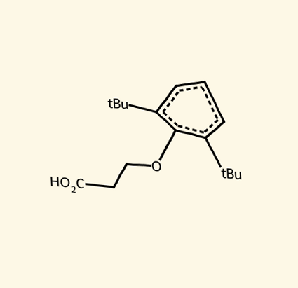 CC(C)(C)c1cccc(C(C)(C)C)c1OCCC(=O)O